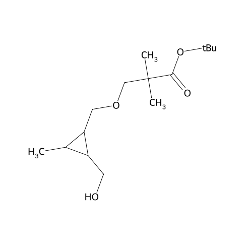 CC1C(CO)C1COCC(C)(C)C(=O)OC(C)(C)C